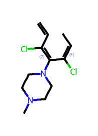 C=C/C(Cl)=C(\C(Cl)=C/C)N1CCN(C)CC1